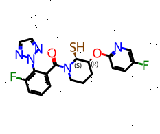 O=C(c1cccc(F)c1-n1nccn1)N1CCC[C@@H](Oc2ccc(F)cn2)[C@@H]1S